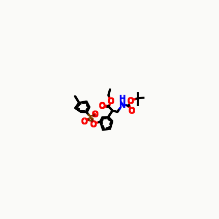 CCOC(=O)C(CNC(=O)OC(C)(C)C)c1cccc(OS(=O)(=O)c2ccc(C)cc2)c1